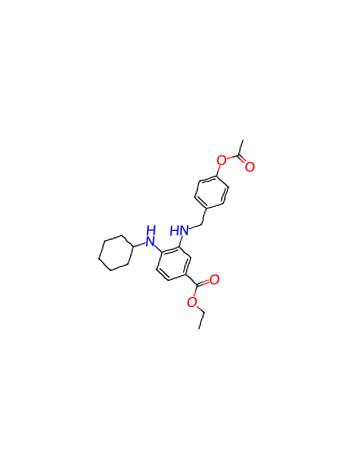 CCOC(=O)c1ccc(NC2CCCCC2)c(NCc2ccc(OC(C)=O)cc2)c1